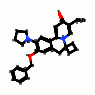 CCOC(=O)c1cn2c(cc1=O)-c1cc(N3CCCC3)c(OCc3ccccc3)cc1CC21CCC1